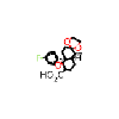 C[C@H]1[C@@H]2CCC(C(=O)O)C(=O)[C@@]2(c2ccc(F)cc2)CCC12OCCO2